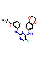 O=C(O)C1Oc2c(Nc3ncc(F)c(Nc4ccc5c(c4)OCCO5)n3)cccc21